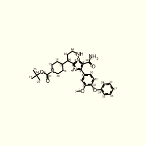 COc1cc(-c2nc3n(c2C(N)=O)NCCC3C2CCN(C(=O)OC(C)(C)C)CC2)ccc1Oc1ccccc1